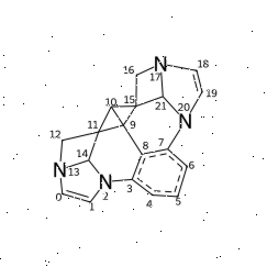 C1=CN2c3cccc4c3C35C(C36CN1C26)C51CN2C=CN4C21